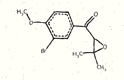 COc1ccc(C(=O)C2OC2(C)C)cc1Br